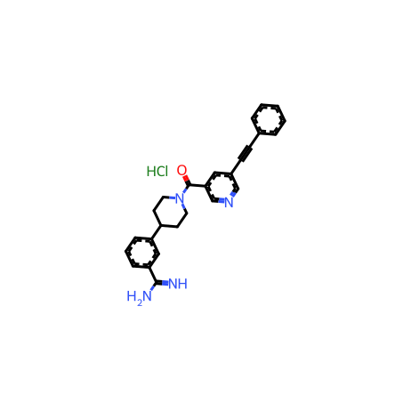 Cl.N=C(N)c1cccc(C2CCN(C(=O)c3cncc(C#Cc4ccccc4)c3)CC2)c1